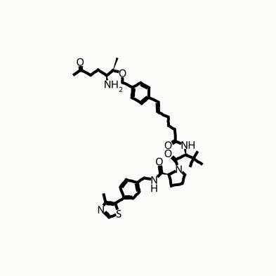 CC(=O)CC[C@H](N)[C@@H](C)OCc1ccc(/C=C/CCCC(=O)N[C@H](C(=O)N2CCC[C@H]2C(=O)NCc2ccc(-c3scnc3C)cc2)C(C)(C)C)cc1